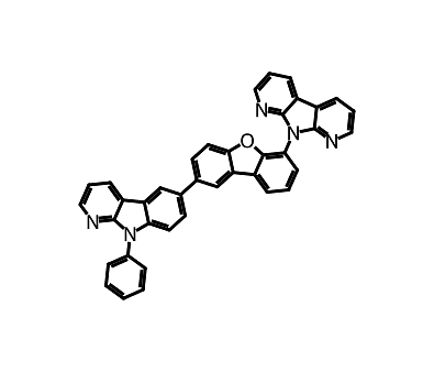 c1ccc(-n2c3ccc(-c4ccc5oc6c(-n7c8ncccc8c8cccnc87)cccc6c5c4)cc3c3cccnc32)cc1